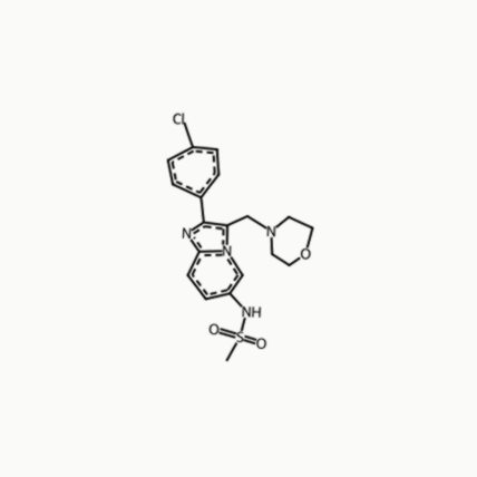 CS(=O)(=O)Nc1ccc2nc(-c3ccc(Cl)cc3)c(CN3CCOCC3)n2c1